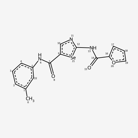 Cc1cccc(NC(=O)c2cnc(NC(=O)c3ccco3)[se]2)c1